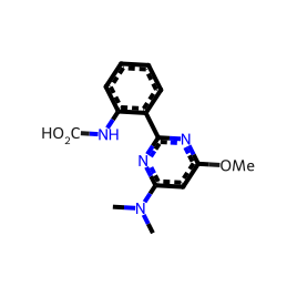 COc1cc(N(C)C)nc(-c2ccccc2NC(=O)O)n1